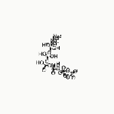 O=C(O)O.O=C(O)O.O=C(O)O.O=C(O)O.O=P([O-])([O-])OP(=O)([O-])[O-].[Na+].[Na+].[Na+].[Na+]